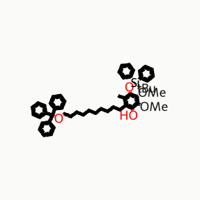 COc1c(O)c(CCCCCCCCCCOC(c2ccccc2)(c2ccccc2)c2ccccc2)c(C)c(O[Si](c2ccccc2)(c2ccccc2)C(C)(C)C)c1OC